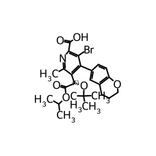 Cc1nc(C(=O)O)c(Br)c(-c2ccc3c(c2)CCCO3)c1[C@H](OC(C)(C)C)C(=O)OC(C)C